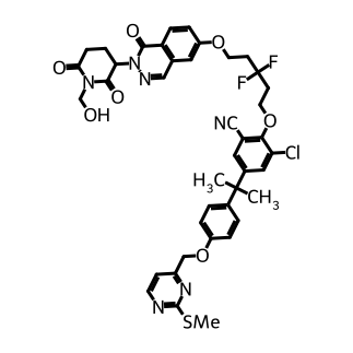 CSc1nccc(COc2ccc(C(C)(C)c3cc(Cl)c(OCCC(F)(F)CCOc4ccc5c(=O)n(C6CCC(=O)N(CO)C6=O)ncc5c4)c(C#N)c3)cc2)n1